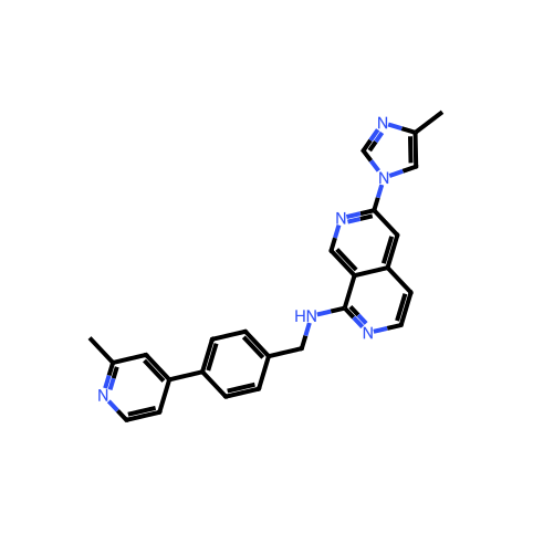 Cc1cc(-c2ccc(CNc3nccc4cc(-n5cnc(C)c5)ncc34)cc2)ccn1